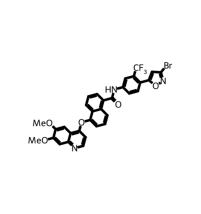 COc1cc2nccc(Oc3cccc4c(C(=O)Nc5ccc(-c6cc(Br)no6)c(C(F)(F)F)c5)cccc34)c2cc1OC